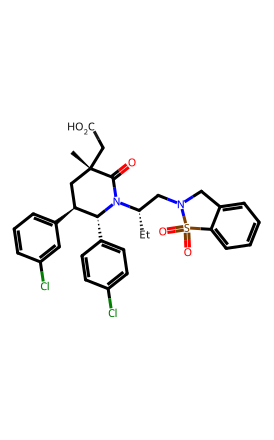 CC[C@@H](CN1Cc2ccccc2S1(=O)=O)N1C(=O)[C@@](C)(CC(=O)O)C[C@H](c2cccc(Cl)c2)[C@H]1c1ccc(Cl)cc1